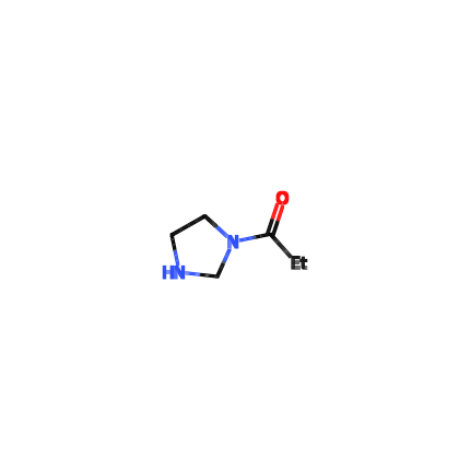 CCC(=O)N1CCNC1